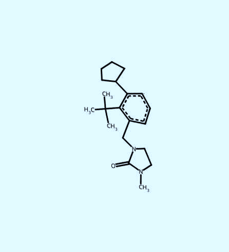 CN1CCN(Cc2cc[c]c(C3CCCC3)c2C(C)(C)C)C1=O